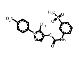 CS(=O)(=O)c1cccc(NC(=O)Oc2cnn(-c3ccc([N+](=O)[O-])cc3)c2C(F)(F)F)c1